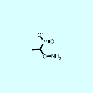 CC(ON)[P+](=O)[O-]